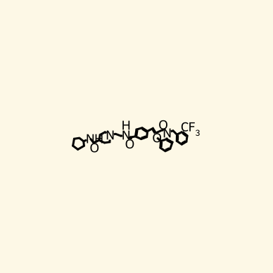 O=C(NCCN1CCC(C(=O)NC2CCCCC2)CC1)c1ccc(/C=C2\Oc3ccccc3N(Cc3ccccc3C(F)(F)F)C2=O)cc1